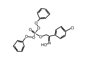 O=P(OCC(=NO)c1ccc(Cl)cc1)(OOc1ccccc1)OOc1ccccc1